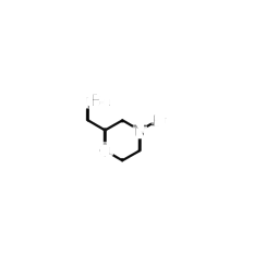 CCN1CCOC(CC(C)(C)C)C1